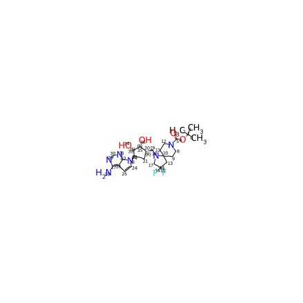 CC(C)(C)OC(=O)N1CCC2(CC1)CC(F)(F)CN2C[C@H]1C[C@@H](n2ccc3c(N)ncnc32)[C@H](O)[C@@H]1O